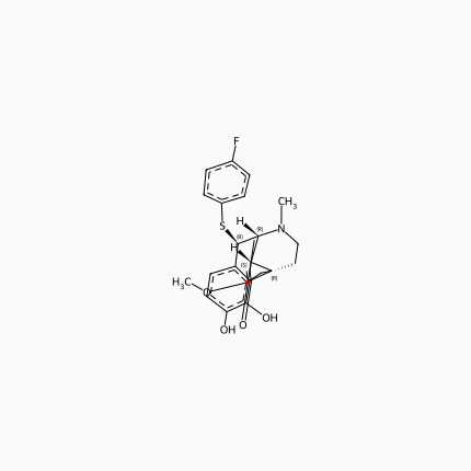 COC1=C[C@@H]2[C@@H]3[C@H](Sc4ccc(F)cc4)c4ccc(O)c(O)c4[C@]2(CCN3C)CC1=O